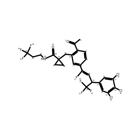 CC(=O)c1ccc(/C(F)=C/C(c2cc(Cl)c(Cl)c(Cl)c2)C(F)(F)F)cc1CC1(C(=O)NCCC(F)(F)F)CC1